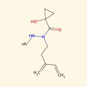 C=CC(=C)CCN(NCCC)C(=O)C1(O)CC1